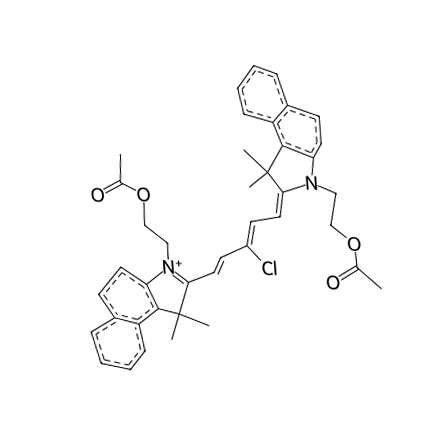 CC(=O)OCCN1/C(=C/C=C(Cl)/C=C/C2=[N+](CCOC(C)=O)c3ccc4ccccc4c3C2(C)C)C(C)(C)c2c1ccc1ccccc21